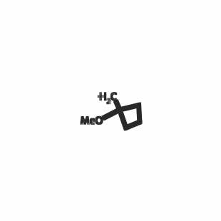 [CH2]C1(OC)CCC1